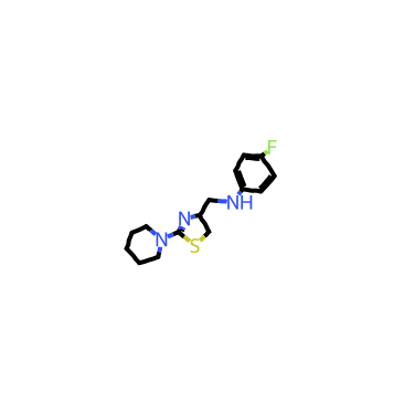 Fc1ccc(NCC2CSC(N3CCCCC3)=N2)cc1